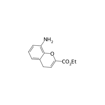 CCOC(=O)C1=CCc2cccc(N)c2O1